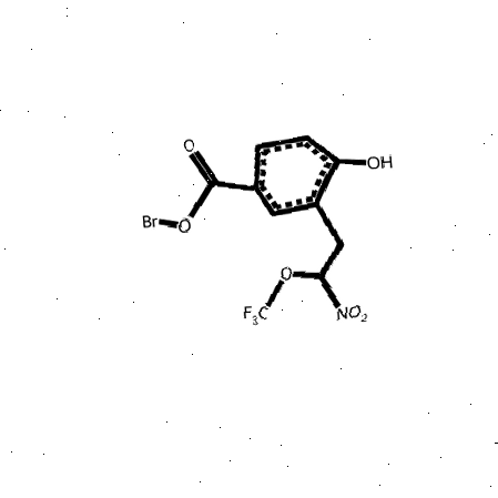 O=C(OBr)c1ccc(O)c(CC(OC(F)(F)F)[N+](=O)[O-])c1